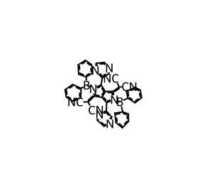 N#CC(C#N)=c1c2c(-c3cnccn3)n(B(c3ccccc3)c3ccccc3)c(=C(C#N)C#N)c2c(-c2cnccn2)n1B(c1ccccc1)c1ccccc1